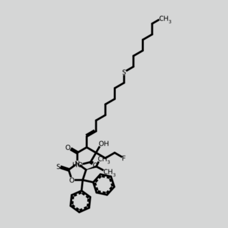 CCCCCCCSCCCCCC/C=C/C(C(=O)N1C(=S)OC(c2ccccc2)(c2ccccc2)[C@@H]1C(C)C)C(O)(CCF)C(=O)O